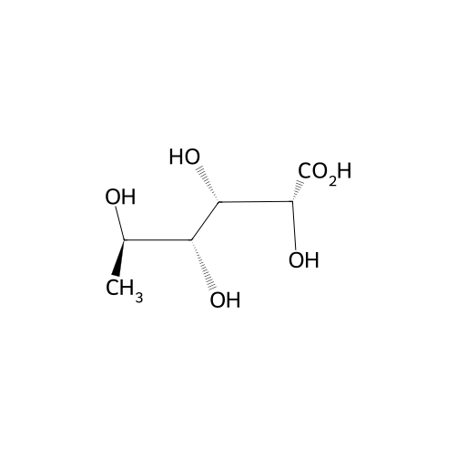 C[C@@H](O)[C@@H](O)[C@H](O)[C@@H](O)C(=O)O